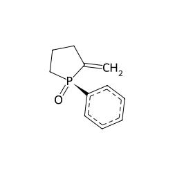 C=C1CCC[P@]1(=O)c1ccccc1